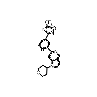 FC(F)(F)c1nc(-c2ccnc(-c3cc4c(ccn4C4CCOCC4)cn3)c2)no1